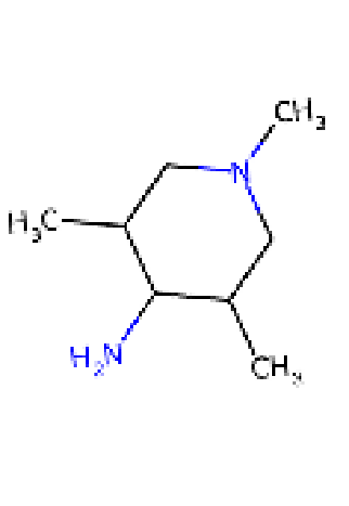 CC1CN(C)CC(C)C1N